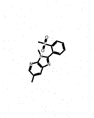 Cc1cnc2c(c1)nc(-c1ccccc1S(C)(=O)=O)n2C